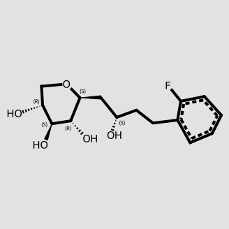 O[C@@H](CCc1ccccc1F)C[C@@H]1OC[C@@H](O)[C@H](O)[C@H]1O